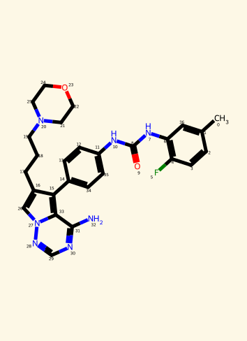 Cc1ccc(F)c(NC(=O)Nc2ccc(-c3c(CCCN4CCOCC4)cn4ncnc(N)c34)cc2)c1